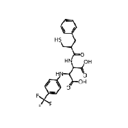 O=C(NC(C(=O)O)C(Nc1ccc(C(F)(F)F)cc1)C(=O)O)C(CS)Cc1ccccc1